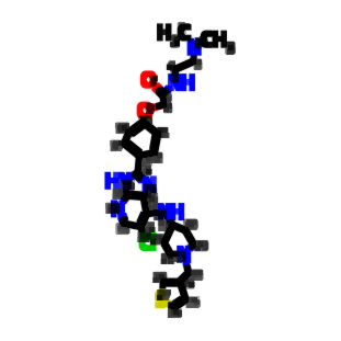 CN(C)CCNC(=O)COc1ccc(-c2nc3c(NC4CCN(Cc5ccsc5)CC4)c(Cl)cnc3[nH]2)cc1